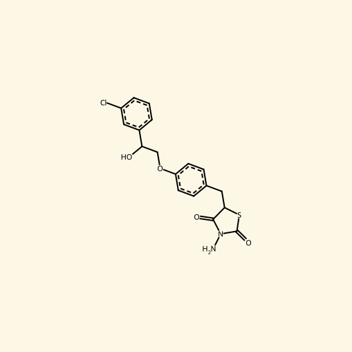 NN1C(=O)SC(Cc2ccc(OCC(O)c3cccc(Cl)c3)cc2)C1=O